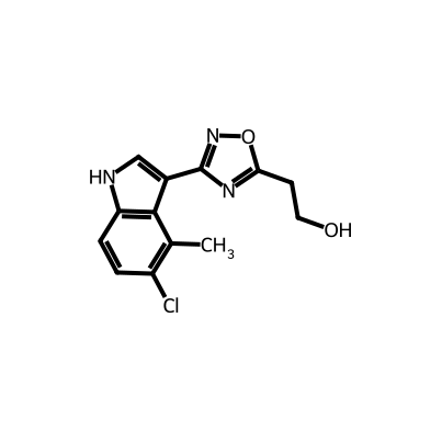 Cc1c(Cl)ccc2[nH]cc(-c3noc(CCO)n3)c12